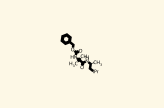 CC(C)C[C@@H](C)NC(=O)C(C)(C)NC(=O)OCc1ccccc1